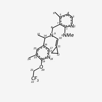 CNc1nccc(C)c1CN(C=C1CC1)C(C)c1cnc(OCC(F)(F)F)c(C)c1